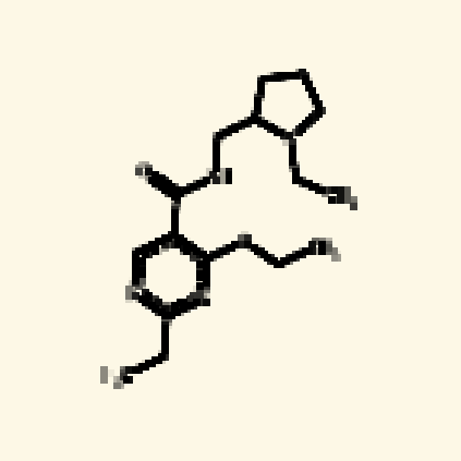 CCOc1nc(CC)ncc1C(=O)NCC1CCCN1CC